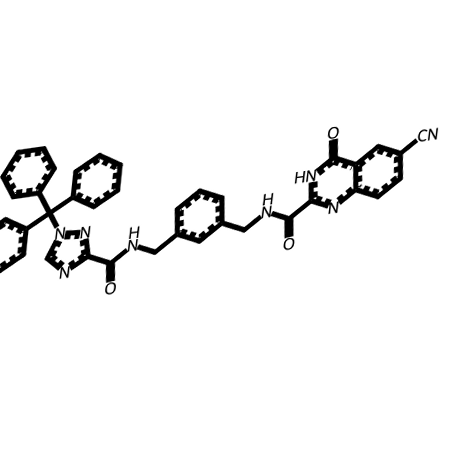 N#Cc1ccc2nc(C(=O)NCc3cccc(CNC(=O)c4ncn(C(c5ccccc5)(c5ccccc5)c5ccccc5)n4)c3)[nH]c(=O)c2c1